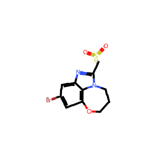 O=[SH](=O)Cc1nc2cc(Br)cc3c2n1CCCO3